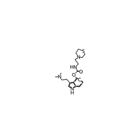 CN(C)CCc1c[nH]c2cccc(OC(=O)NCCN3CCSCC3)c12